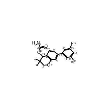 CC1(C)COc2cc(-c3cc(F)cc(F)c3)ccc2C1OC(N)=O